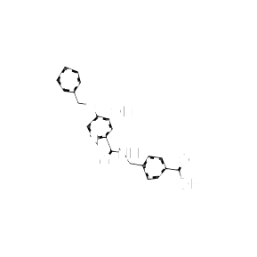 O=C(O)c1ccc(CNC(=O)c2cc(O)c(OCc3ccccc3)cn2)cc1